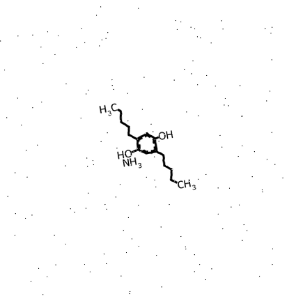 CCCCCc1cc(O)c(CCCCC)cc1O.N